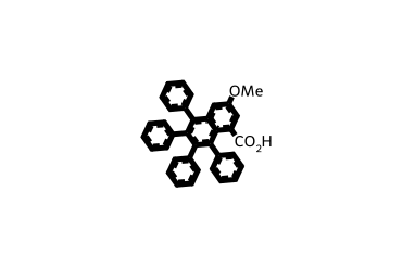 COc1cc(C(=O)O)c2c(-c3ccccc3)c(-c3ccccc3)c(-c3ccccc3)c(-c3ccccc3)c2c1